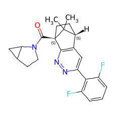 CC1(C)[C@@H]2CC[C@@]1(C(=O)N1CCC3CC31)c1nnc(-c3c(F)cccc3F)cc12